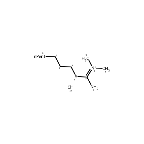 CCCCCCCCSC(N)=[N+](C)C.[Cl-]